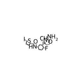 CC[C@@]1(c2cc(NC(=O)c3ccc(I)s3)ccc2F)CCOC(N)=N1